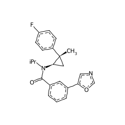 CC(C)N(C(=O)c1cccc(-c2cnco2)c1)[C@@H]1C[C@@]1(C)c1ccc(F)cc1